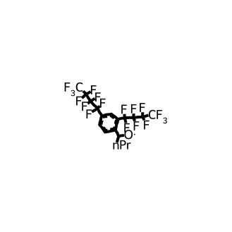 CCCC([O])c1ccc(C(F)(F)C(F)(F)C(F)(F)C(F)(F)F)cc1C(F)(F)C(F)(F)C(F)(F)C(F)(F)F